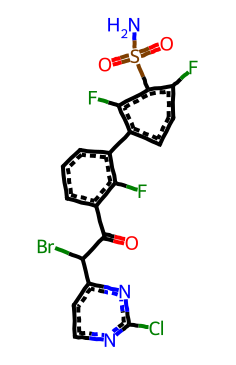 NS(=O)(=O)c1c(F)ccc(-c2cccc(C(=O)C(Br)c3ccnc(Cl)n3)c2F)c1F